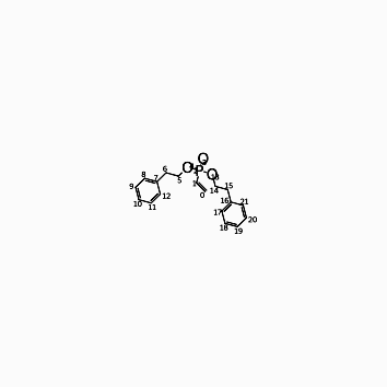 C=CP(=O)(OCCc1ccccc1)OCCc1ccccc1